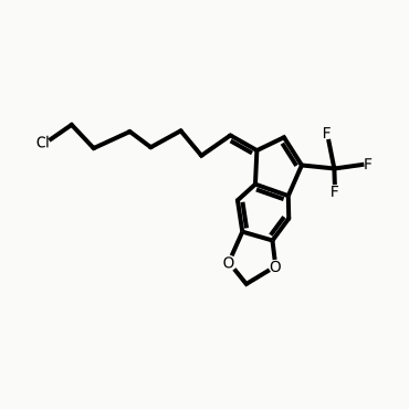 FC(F)(F)C1=C/C(=C/CCCCCCCl)c2cc3c(cc21)OCO3